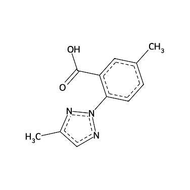 Cc1ccc(-n2ncc(C)n2)c(C(=O)O)c1